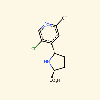 O=C(O)[C@@H]1CC[C@@H](c2cc(C(F)(F)F)ncc2Cl)N1